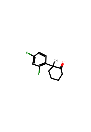 N#CC1(c2ccc(F)cc2F)CCCCC1=O